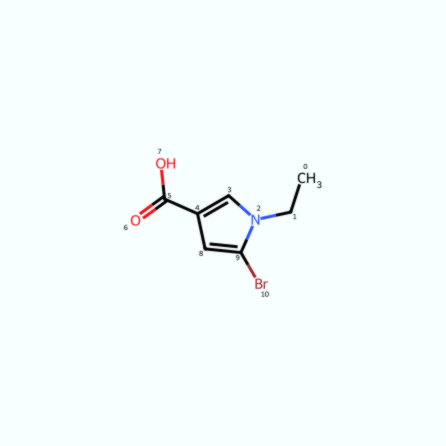 CCn1cc(C(=O)O)cc1Br